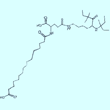 CCC(C)(CC)NC(CCCCNC(=O)CCC(NC(=O)CCCCCCCCCCCCCCC(=O)O)C(=O)O)C(=O)C(C)(C)CC